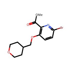 COC(=O)c1nc(Br)ccc1OCC1CCOCC1